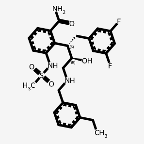 CCc1cccc(CNC[C@H](O)[C@@H](Cc2cc(F)cc(F)c2)c2c(NS(C)(=O)=O)cccc2C(N)=O)c1